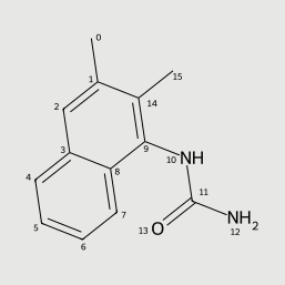 Cc1cc2ccccc2c(NC(N)=O)c1C